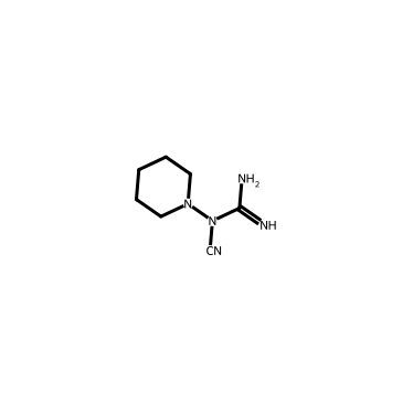 N#CN(C(=N)N)N1CCCCC1